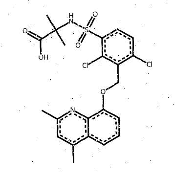 Cc1cc(C)c2cccc(OCc3c(Cl)ccc(S(=O)(=O)NC(C)(C)C(=O)O)c3Cl)c2n1